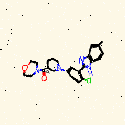 Cc1ccc2[nH]c(-c3cc(N4CCC[C@H](C(=O)N5CCOCC5)C4)ccc3Cl)nc2c1